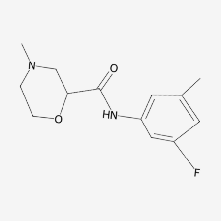 Cc1cc(F)cc(NC(=O)C2CN(C)CCO2)c1